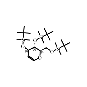 CC(C)(C)[Si](C)(C)OC[C@H]1OC=C[C@@H](O[Si](C)(C)C(C)(C)C)[C@@H]1O[Si](C)(C)C(C)(C)C